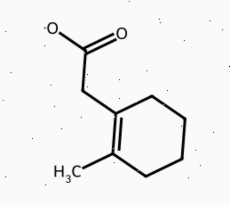 CC1=C(CC([O])=O)CCCC1